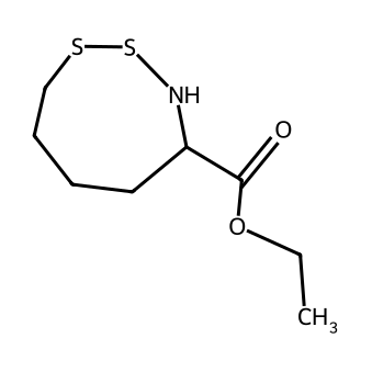 CCOC(=O)C1CCCCSSN1